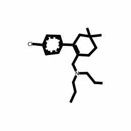 CCCN(CCC)CC1=C(c2ccc(Cl)cc2)CC(C)(C)CC1